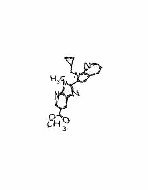 COC(=O)c1cnc2c(c1)nc(-c1cc3cccnc3n1CC1CC1)n2C